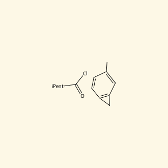 CCCC(C)C(=O)Cl.Cc1ccc2c(c1)C2